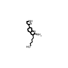 Nc1nc2cc(-c3cc[nH]n3)ccc2cc1CCCCCO